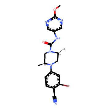 COc1ncc(NC(=O)N2C[C@H](C)N(c3ccc(C#N)c(Br)c3)C[C@H]2C)cn1